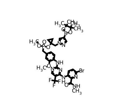 CNC(=O)c1nc(Br)ccc1Nc1nc(Nc2ccc(CP(=O)(OC)OC3(Cn4cc(B5OC(C)(C)C(C)(C)O5)cn4)CC3)cc2OC)ncc1C(F)(F)F